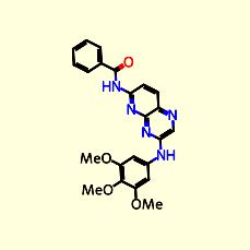 COc1cc(Nc2cnc3ccc(NC(=O)c4ccccc4)nc3n2)cc(OC)c1OC